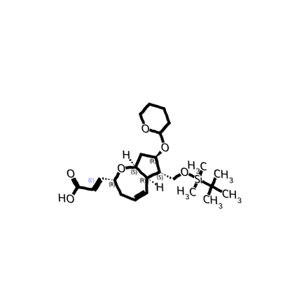 CC(C)(C)[Si](C)(C)OC[C@@H]1[C@H]2C=CC[C@H](/C=C/C(=O)O)O[C@H]2C[C@H]1OC1CCCCO1